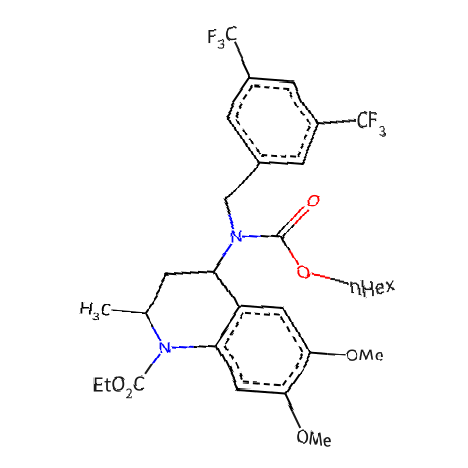 CCCCCCOC(=O)N(Cc1cc(C(F)(F)F)cc(C(F)(F)F)c1)C1CC(C)N(C(=O)OCC)c2cc(OC)c(OC)cc21